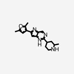 Cc1cc(-c2cc3[nH]c(C4CCNC(C)C4)ncc-3n2)c(C)o1